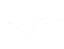 CC(C)(C)OC(=O)N1CCC(S(=O)(=O)CC(CCCc2ccccc2)C(=O)O)CC1